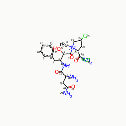 CC(C)(C)[N+]1(C(=O)C(O)C(Cc2ccccc2)NC(=O)[C@@H](N)CC(N)=O)CC(Cl)C[C@H]1C(N)=O.Cl